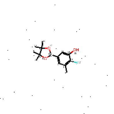 Cc1cc(B2OC(C)(C)C(C)(C)O2)cc(O)c1F